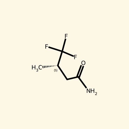 C[C@@H](CC(N)=O)C(F)(F)F